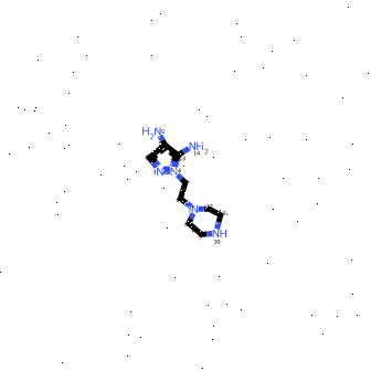 Nc1cnn(CCN2CCNCC2)c1N